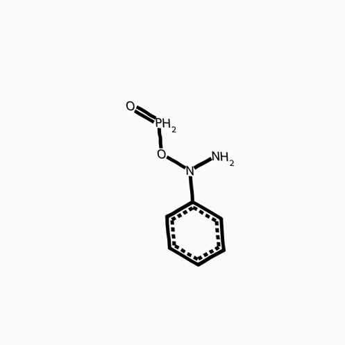 NN(O[PH2]=O)c1ccccc1